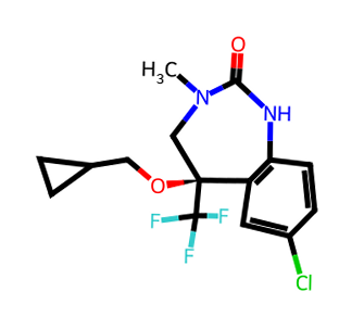 CN1C[C@@](OCC2CC2)(C(F)(F)F)c2cc(Cl)ccc2NC1=O